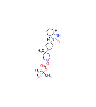 CC(C)(C)OC(=O)ON1CCC(C)(N2CCC(N3C(=O)N[C@@H]4CCCC[C@H]43)CC2)CC1